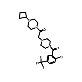 O=C(CN1CCN(C(=O)c2cc(C(F)(F)F)ccc2Cl)CC1)N1CCN(C2CCC2)CC1